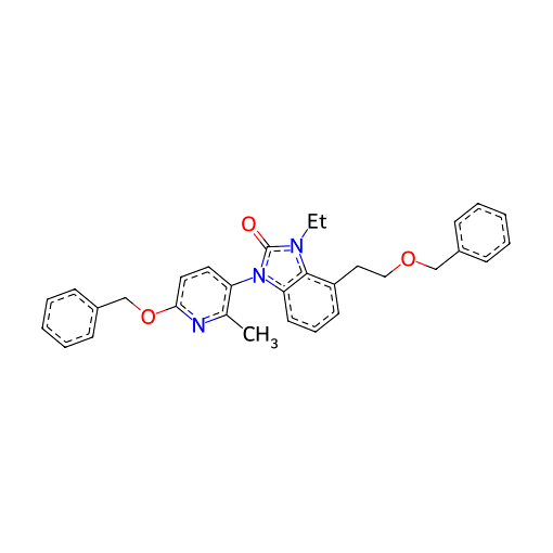 CCn1c(=O)n(-c2ccc(OCc3ccccc3)nc2C)c2cccc(CCOCc3ccccc3)c21